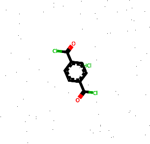 Cl.O=C(Cl)c1ccc(C(=O)Cl)cc1